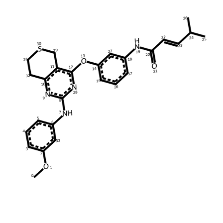 COc1cccc(Nc2nc3c(c(Oc4cccc(NC(=O)/C=C/C(C)C)c4)n2)CSCC3)c1